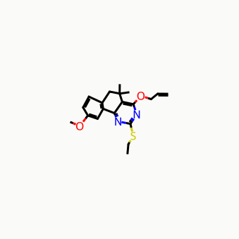 C=CCOc1nc(SCC)nc2c1C(C)(C)Cc1ccc(OC)cc1-2